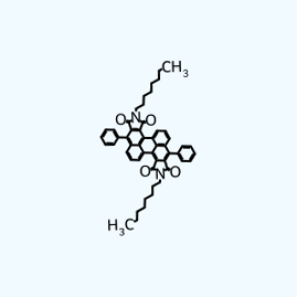 CCCCCCCCn1c(=O)c2c(-c3ccccc3)c3cccc4c3c(c3cccc5c(-c6ccccc6)c6c(=O)n(CCCCCCCC)c(=O)c6c4c53)c2c1=O